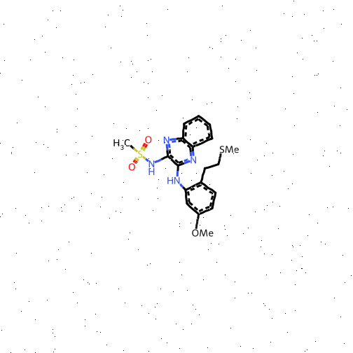 COc1ccc(CCSC)c(Nc2nc3ccccc3nc2NS(C)(=O)=O)c1